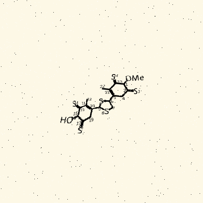 COC1C(=S)CC(C2CSC(C3=C(C)C(=S)C(O)C(=S)C3)S2)=C(C)C1=S